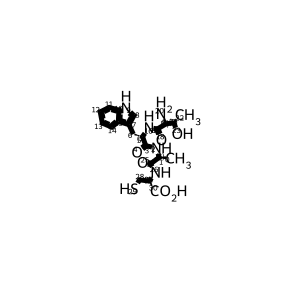 C[C@H](NC(=O)[C@H](Cc1c[nH]c2ccccc12)NC(=O)[C@@H](N)[C@@H](C)O)C(=O)N[C@@H](CS)C(=O)O